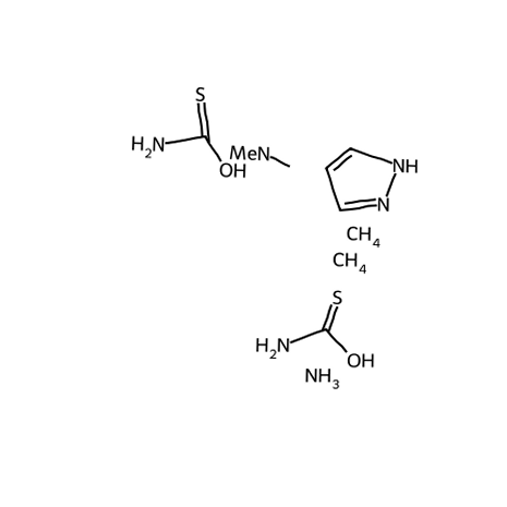 C.C.CNC.N.NC(O)=S.NC(O)=S.c1cn[nH]c1